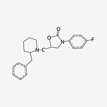 O=C1OC(CN2CCCCC2Cc2ccccc2)CN1c1ccc(F)cc1